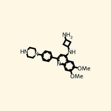 COc1cc2nc(-c3ccc(N4CCNCC4)cc3)cc(NC3CC(N)C3)c2cc1OC